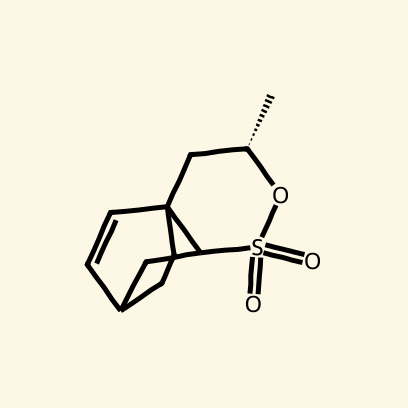 C[C@H]1CC23C=CC(CC2)CC3S(=O)(=O)O1